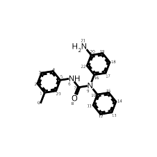 Cc1cccc(NC(=O)N(c2ccccc2)c2cccc(N)c2)c1